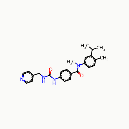 Cc1ccc(N(C)C(=O)c2ccc(NC(=O)NCc3ccncc3)cc2)cc1C(C)C